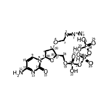 [N-]=[N+]=NCO[C@H]1C[C@H](n2ccc(N)nc2=O)O[C@@H]1COP(=O)(O)OP(=O)(O)OP(=O)(O)O